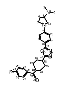 CN(C)C1CCN(c2ccc(-c3nnc(C4CCC(C(=O)c5ccc(F)cc5)CC4)o3)cc2)C1